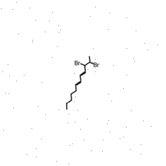 CCCCCC=CC=CC(Br)C(C)Br